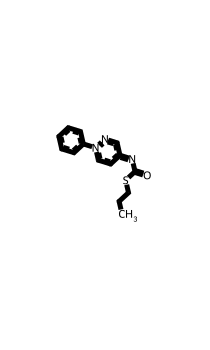 CCCSC(=O)N=c1ccn(-c2ccccc2)nc1